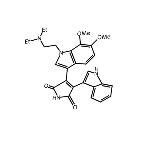 CCN(CC)CCn1cc(C2=C(c3c[nH]c4ccccc34)C(=O)NC2=O)c2ccc(OC)c(OC)c21